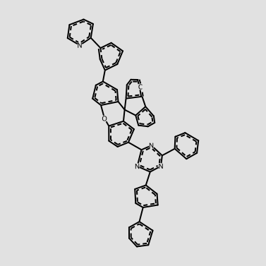 c1ccc(-c2ccc(-c3nc(-c4ccccc4)nc(-c4ccc5c(c4)C4(c6cc(-c7cccc(-c8ccccn8)c7)ccc6O5)c5ccccc5-c5ccccc54)n3)cc2)cc1